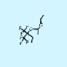 CCOC(C)OC(CC)(C(F)(F)F)C(F)(F)F